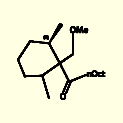 CCCCCCCCC(=O)C1(COC)C(C)CCC[C@H]1C